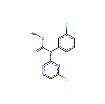 CC(C)(C)OC(=O)N(c1cccc(Cl)c1)c1cncc(Cl)n1